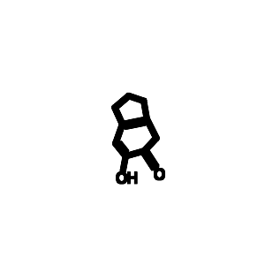 O=C1CC2=C(C=C1O)CCC2